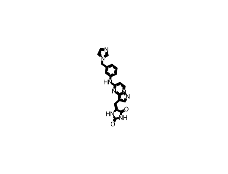 O=C1NC(=O)C(=Cc2cnn3ccc(Nc4cccc(Cn5ccnc5)c4)nc23)N1